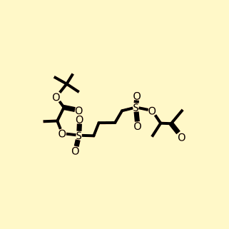 CC(=O)C(C)OS(=O)(=O)CCCCS(=O)(=O)OC(C)C(=O)OC(C)(C)C